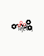 C[C@H](O[Si](c1ccccc1)(c1ccccc1)C(C)(C)C)C(=O)OCc1ccccc1